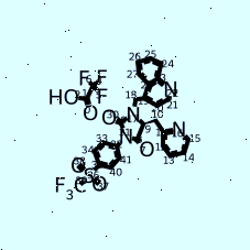 O=C(O)C(F)(F)F.O=C1[C@H](Cc2ccccn2)N(Cc2ccnc3ccccc23)C(=O)N1c1ccc(S(=O)(=O)C(F)(F)F)cc1